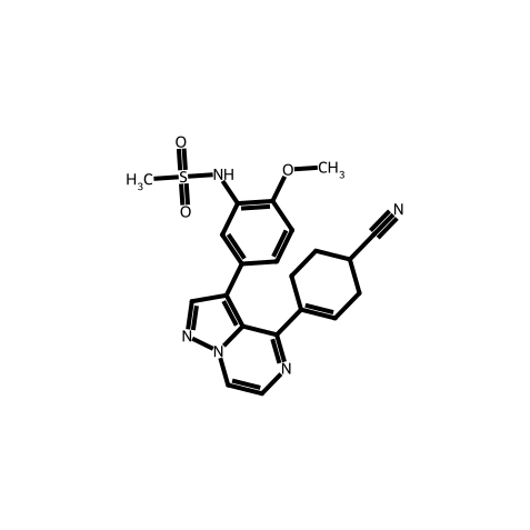 COc1ccc(-c2cnn3ccnc(C4=CCC(C#N)CC4)c23)cc1NS(C)(=O)=O